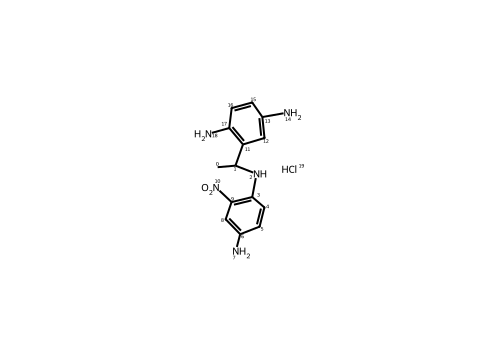 CC(Nc1ccc(N)cc1[N+](=O)[O-])c1cc(N)ccc1N.Cl